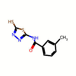 Cc1cccc(C(=O)Nc2nnc(S)s2)c1